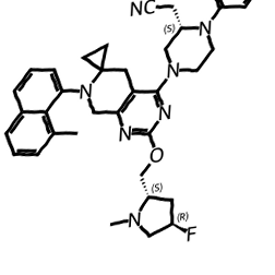 C=CC(=O)N1CCN(c2nc(OC[C@@H]3C[C@@H](F)CN3C)nc3c2CC2(CC2)N(c2cccc4cccc(C)c24)C3)C[C@@H]1CC#N